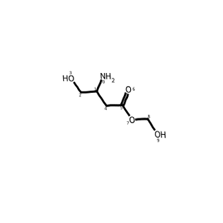 NC(CO)CC(=O)OCO